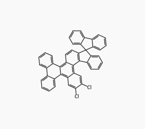 Clc1cc2c(cc1Cl)c1c3ccccc3c3ccccc3c1c1ccc3c(c21)-c1ccccc1C31c2ccccc2-c2ccccc21